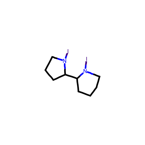 IN1CCCCC1C1CCCN1I